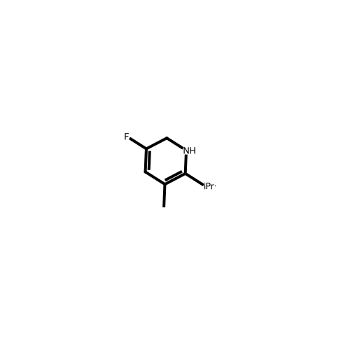 C[C](C)C1=C(C)C=C(F)CN1